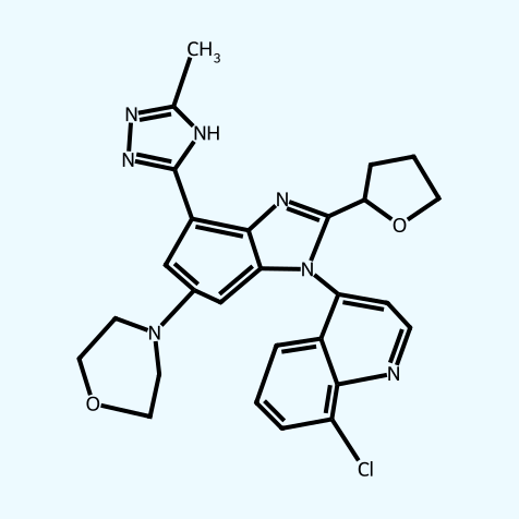 Cc1nnc(-c2cc(N3CCOCC3)cc3c2nc(C2CCCO2)n3-c2ccnc3c(Cl)cccc23)[nH]1